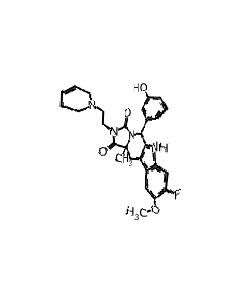 COc1cc2c3c([nH]c2cc1F)C(c1cccc(O)c1)N1C(=O)N(CCN2CC=CCC2)C(=O)C1(C)C3